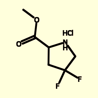 COC(=O)C1CC(F)(F)CN1.Cl